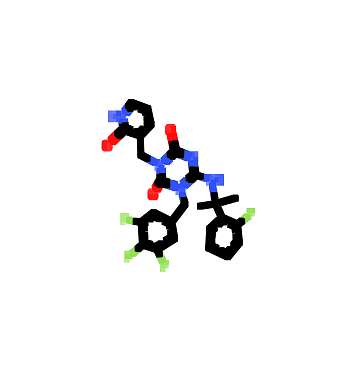 CC(C)(Nc1nc(=O)n(Cc2ccc[nH]c2=O)c(=O)n1Cc1cc(F)c(F)c(F)c1)c1ccccc1F